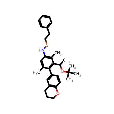 Cc1cc(NSCCc2ccccc2)c(C)c(C(C)OC(C)(C)C)c1-c1ccc2c(c1)CCCO2